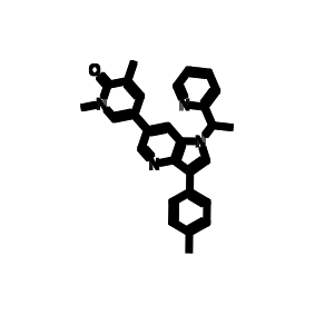 Cc1ccc(-c2cn(C(C)c3ccccn3)c3cc(-c4cc(C)c(=O)n(C)c4)cnc23)cc1